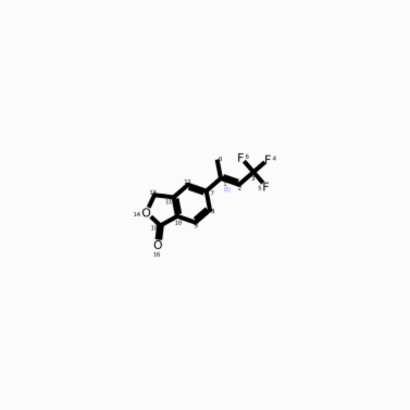 C/C(=C\C(F)(F)F)c1ccc2c(c1)COC2=O